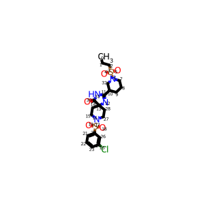 CCCS(=O)(=O)N1CCCC(C2=NC3(CCN(S(=O)(=O)c4cccc(Cl)c4)CC3)C(=O)N2)C1